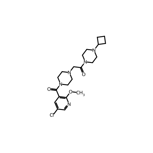 COc1ncc(Cl)cc1C(=O)N1CCN(CC(=O)N2CCN(C3CCC3)CC2)CC1